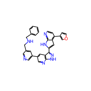 c1ccc(CNCc2cncc(-c3cnc4[nH]nc(-c5cc6c(-c7ccoc7)ccnc6[nH]5)c4c3)c2)cc1